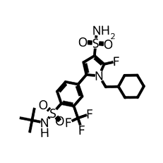 CC(C)(C)NS(=O)(=O)c1ccc(-c2cc(S(N)(=O)=O)c(F)n2CC2CCCCC2)cc1C(F)(F)F